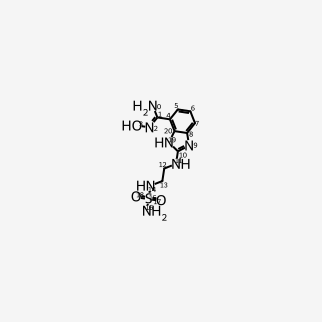 NC(=NO)c1cccc2nc(NCCNS(N)(=O)=O)[nH]c12